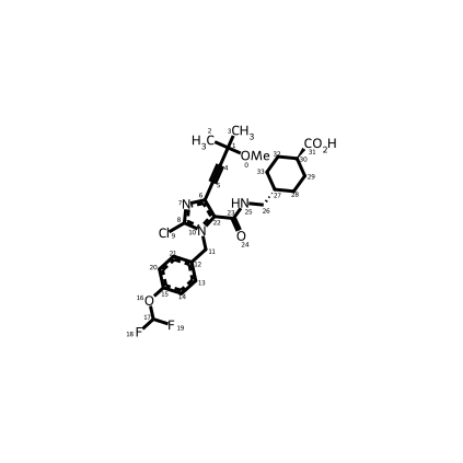 COC(C)(C)C#Cc1nc(Cl)n(Cc2ccc(OC(F)F)cc2)c1C(=O)NC[C@H]1CC[C@H](C(=O)O)CC1